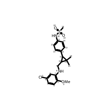 COc1ccc(Cl)cc1NCC1C(c2ccc(NS(C)(=O)=O)cc2)C1(C)C